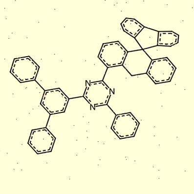 c1ccc(-c2cc(-c3ccccc3)cc(-c3nc(-c4ccccc4)nc(-c4cccc5c4Cc4ccccc4C54c5ccccc5-c5ccccc54)n3)c2)cc1